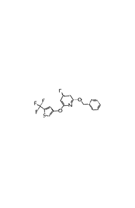 Fc1cc(OCc2ccccc2)nc(Oc2csc(C(F)(F)F)c2)c1